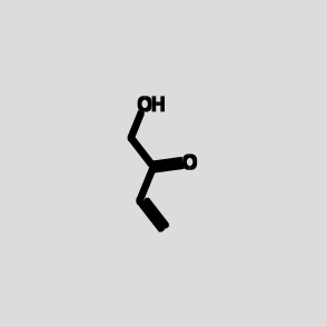 C=CC(=O)CO